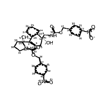 C[C@@]1(C2=C(O)C[C@](O)(CNC(=O)OCc3ccc([N+](=O)[O-])cc3)c3ccccc32)CCCN1C(=O)OCc1ccc([N+](=O)[O-])cc1